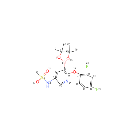 CC1(C)OB(c2cc(NS(C)(=O)=O)cnc2Oc2ccc(F)cc2F)OC1(C)C